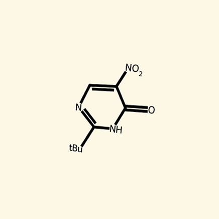 CC(C)(C)c1ncc([N+](=O)[O-])c(=O)[nH]1